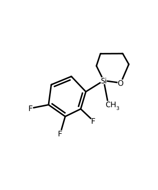 C[Si]1(c2ccc(F)c(F)c2F)CCCCO1